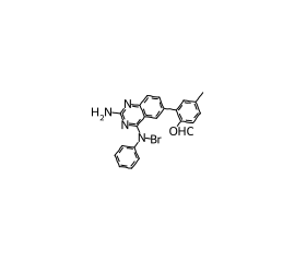 Cc1ccc(C=O)c(-c2ccc3nc(N)nc(N(Br)c4ccccc4)c3c2)c1